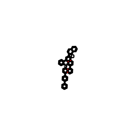 C1=CC2C=Cc3c(oc4ccc(-c5ccccc5N(c5ccc(-c6ccc(-c7ccccc7)cc6)cc5)c5ccccc5-c5ccccc5)cc34)C2C=C1